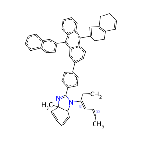 C=C/C(=C\C=C/C)N1C(c2ccc(-c3ccc4c(C5=CC6=C(C=CCC6)CC5)c5ccccc5c(-c5ccc6ccccc6c5)c4c3)cc2)=NC2(C)C=CC=CC12